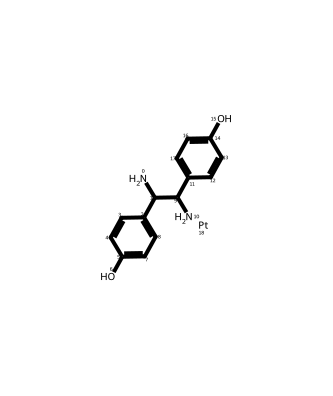 NC(c1ccc(O)cc1)C(N)c1ccc(O)cc1.[Pt]